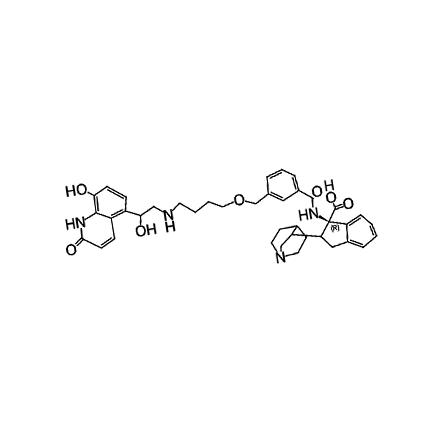 O=C(N[C@@]1(C(=O)O)c2ccccc2CC1C1CN2CCC1CC2)c1cccc(COCCCCNCC(O)c2ccc(O)c3[nH]c(=O)ccc23)c1